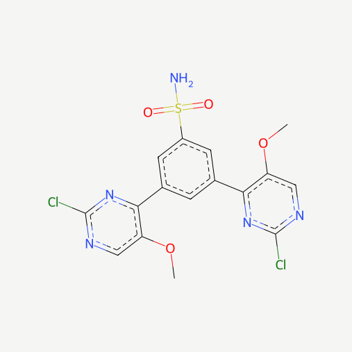 COc1cnc(Cl)nc1-c1cc(-c2nc(Cl)ncc2OC)cc(S(N)(=O)=O)c1